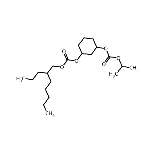 CCCCCC(CCC)COC(=O)OC1CCCC(OC(=O)OC(C)C)C1